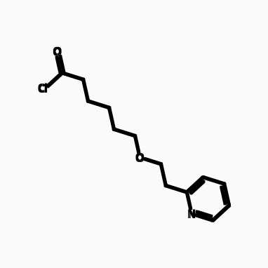 O=C(Cl)CCCCCOCCc1ccccn1